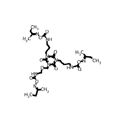 CC/C(C)=N/OC(=O)NCCCn1c(=O)n(CCCNC(=O)O/N=C(\C)CC)c(=O)n(COCNC(=O)O/N=C(\C)CC)c1=O